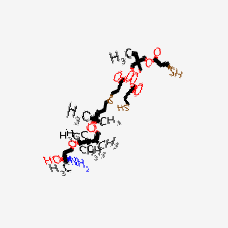 CCC(COC(=O)CCS)(COC(=O)CCS)COC(=O)CCSCCCC(C)(C)OCC(C)C(C)(C)C(C)(C)OCCC(C)(N)O